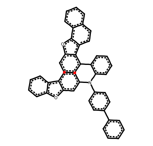 c1ccc(-c2ccc(N(c3ccc4c(c3)oc3ccccc34)c3ccccc3-c3cccc4oc5c6ccccc6ccc5c34)cc2)cc1